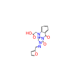 O=C(O)CNc1ccccc1C(=O)N1CCN(/N=C/c2ccco2)C1=O